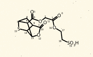 O=C(COC(=O)C1C2CC3C(=O)OC1C3S2)OCCS(=O)(=O)O